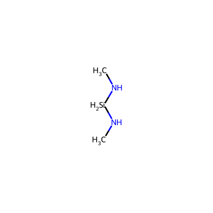 CN[SiH2]NC